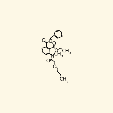 CCCCOCC(=O)N(C)c1cccc(C(=O)OCc2ccccc2)c1C(=O)OCC